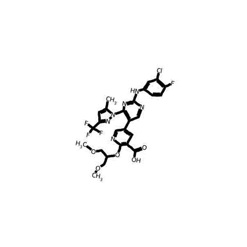 COCC(COC)Oc1ncc(-c2cnc(Nc3ccc(F)c(Cl)c3)nc2-n2nc(C(F)(F)F)cc2C)cc1C(=O)O